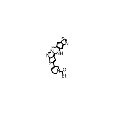 CCC(=O)N1CCC=C(c2cc3c(Nc4cc5ncsc5cc4F)ncnc3s2)C1